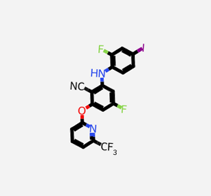 N#Cc1c(Nc2ccc(I)cc2F)cc(F)cc1Oc1cccc(C(F)(F)F)n1